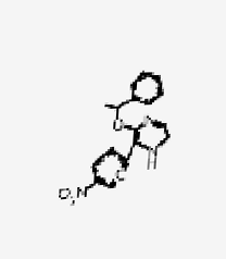 CC(OC1=C(c2ccc([N+](=O)[O-])cc2)NCC=N1)c1ccccc1